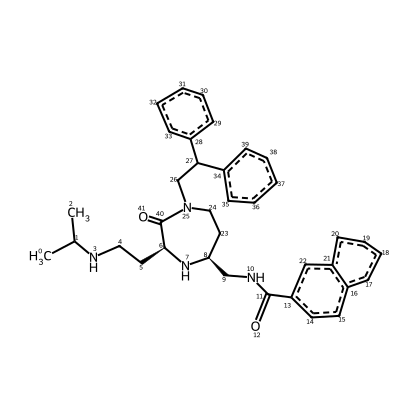 CC(C)NCC[C@@H]1N[C@H](CNC(=O)c2ccc3ccccc3c2)CCN(CC(c2ccccc2)c2ccccc2)C1=O